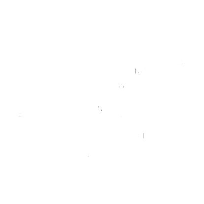 COC/C(=N\OCc1c(Cl)cccc1/C(=N\OC)C(=O)OC)c1ccc(F)cc1